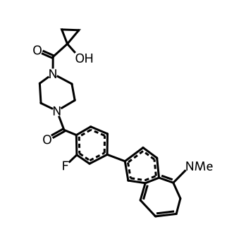 CNC1=c2ccc(-c3ccc(C(=O)N4CCN(C(=O)C5(O)CC5)CC4)c(F)c3)cc2=CC=CC1